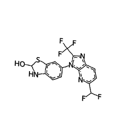 OC1Nc2ccc(-n3c(C(F)(F)F)nc4ccc(C(F)F)nc43)cc2S1